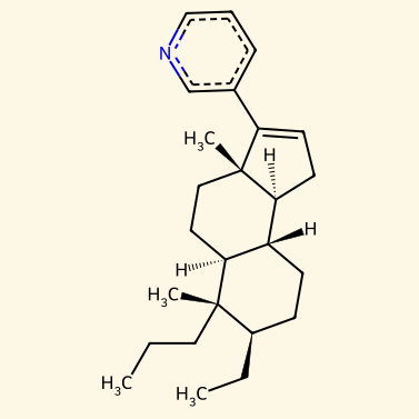 CCC[C@@]1(C)[C@H](CC)CC[C@@H]2[C@@H]1CC[C@]1(C)C(c3cccnc3)=CC[C@@H]21